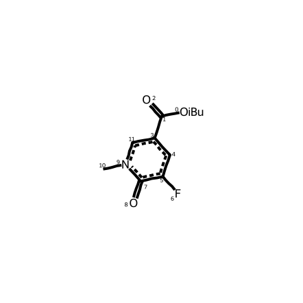 CC(C)COC(=O)c1cc(F)c(=O)n(C)c1